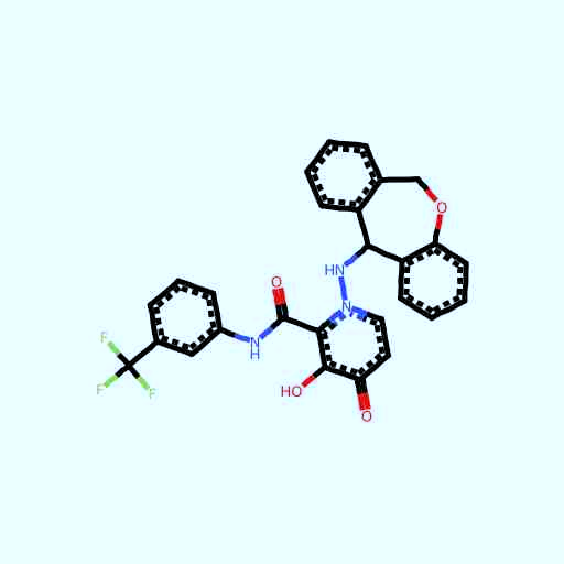 O=C(Nc1cccc(C(F)(F)F)c1)c1c(O)c(=O)ccn1NC1c2ccccc2COc2ccccc21